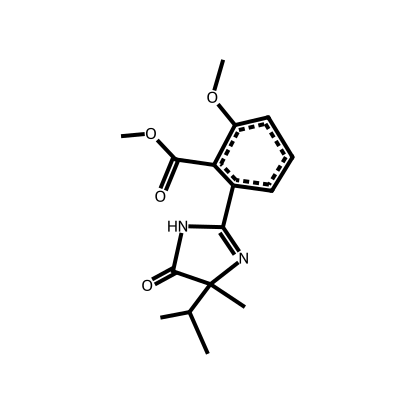 COC(=O)c1c(OC)cccc1C1=NC(C)(C(C)C)C(=O)N1